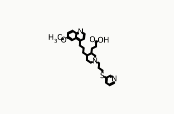 COc1ccc2nccc(CCCC3CCN(CCCSc4cccnc4)CC3CCC(=O)O)c2c1